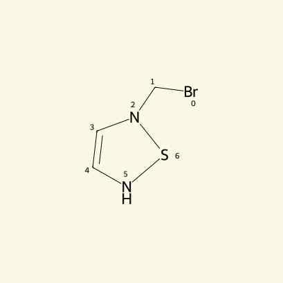 BrCN1C=CNS1